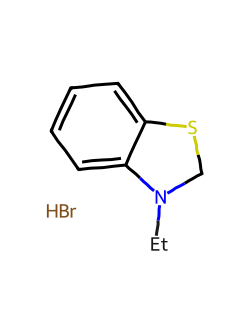 Br.CCN1CSc2ccccc21